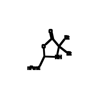 CCCCCC1NC(CC)(CC)C(=O)O1